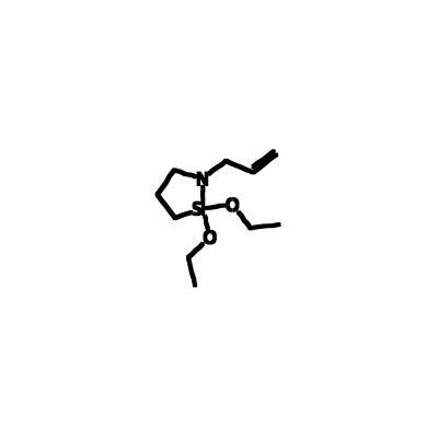 C=CCN1CCC[Si]1(OCC)OCC